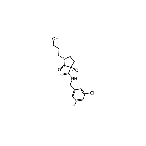 O=C(NCc1cc(F)cc(Cl)c1)[C@@]1(O)CCN(CCCO)C1=O